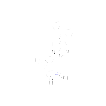 Cc1cc(Nc2ncnc3ccc(N=C(c4ccccc4)c4ccccc4)c(F)c23)ccc1Oc1cc[nH]/c(=N\C=N)c1